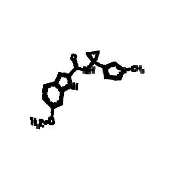 COc1ccc2cc(C(=O)NC3(c4ccn(C)c4)CC3)[nH]c2c1